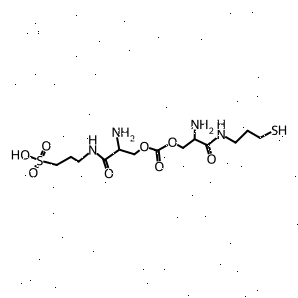 NC(COC(=O)OCC(N)C(=O)NCCCS(=O)(=O)O)C(=O)NCCCS